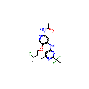 CC(=O)Nc1cc(Nc2cc(C)nc(C(C)(F)F)n2)c(OCC[C@@H](C)F)cn1